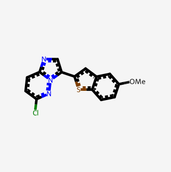 COc1ccc2sc(-c3cnc4ccc(Cl)nn34)cc2c1